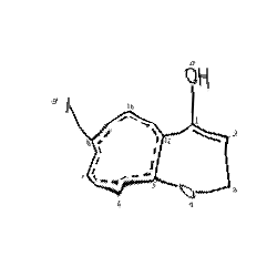 OC1=CCOc2ccc(I)cc21